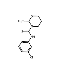 CC1SCCCN1C(=S)Nc1cccc(Cl)c1